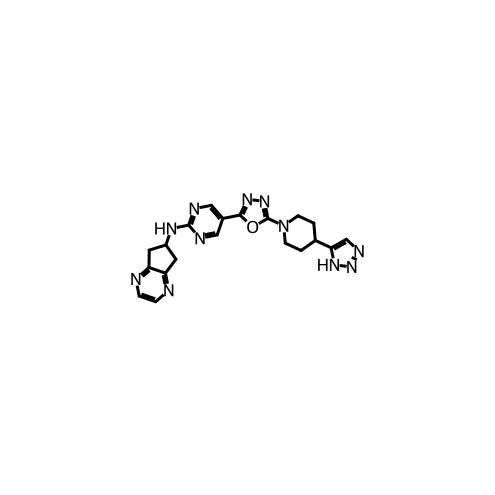 c1cnc2c(n1)CC(Nc1ncc(-c3nnc(N4CCC(c5cnn[nH]5)CC4)o3)cn1)C2